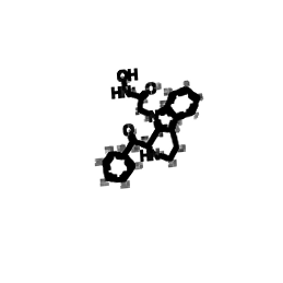 O=C(Cn1c2c(c3ccccc31)CCNC2C(=O)c1ccccc1)NO